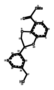 COC(=O)c1cccc2c1OCC(c1cncc(CO)c1)O2